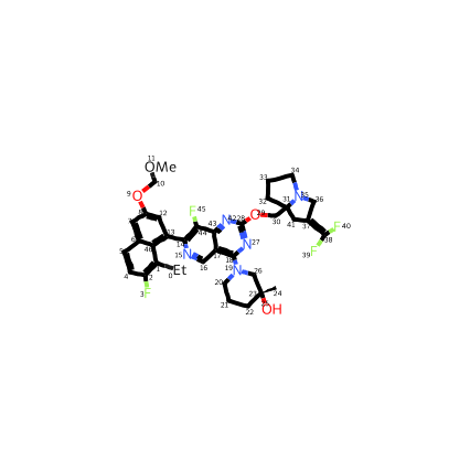 CCc1c(F)ccc2cc(OCOC)cc(-c3ncc4c(N5CCC[C@@](C)(O)C5)nc(OCC56CCCN5CC(=C(F)F)C6)nc4c3F)c12